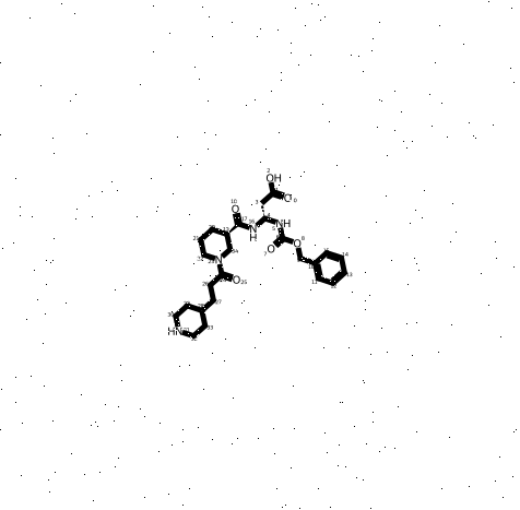 O=C(O)C[C@H](NC(=O)OCc1ccccc1)NC(=O)[C@@H]1CCCN(C(=O)CCC2CCNCC2)C1